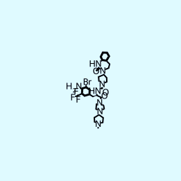 CN1CCC(N2CCN(C(=O)[C@@H](Cc3cc(Br)c(N)c(C(F)(F)F)c3)NC(=O)N3CCC(N4CCc5ccccc5NC4=O)CC3)CC2)CC1